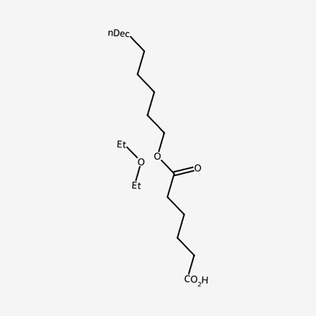 CCCCCCCCCCCCCCCOC(=O)CCCCC(=O)O.CCOCC